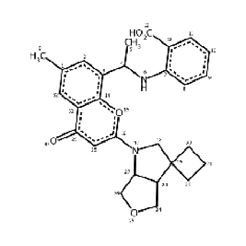 Cc1cc(C(C)Nc2ccccc2C(=O)O)c2oc(N3CC4(CCC4)C4COCC43)cc(=O)c2c1